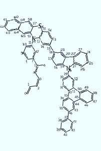 C=C/C=C\C=C(/C)c1cccc(N2c3cc(-c4ccc5c(c4)c4ccccc4n5-c4ccc5c6ccc(-c7ccccc7)cc6c6ccccc6c5c4)ccc3Sc3cc4ccccc4cc32)c1